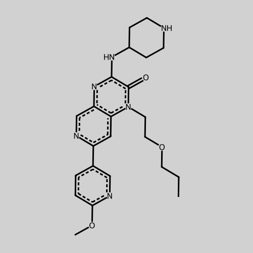 CCCOCCn1c(=O)c(NC2CCNCC2)nc2cnc(-c3ccc(OC)nc3)cc21